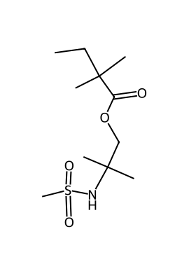 CCC(C)(C)C(=O)OCC(C)(C)NS(C)(=O)=O